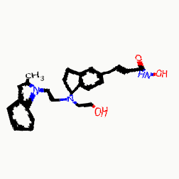 Cc1cc2ccccc2n1CCN(CCO)C1CCc2cc(/C=C/C(=O)NO)ccc21